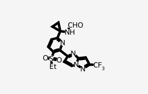 CCS(=O)(=O)c1ccc(C2(NC=O)CC2)nc1-c1ccn2nc(C(F)(F)F)cc2n1